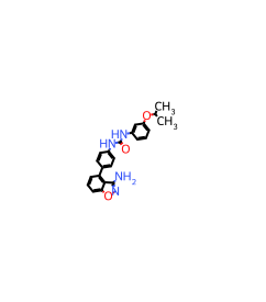 CC(C)Oc1cccc(NC(=O)Nc2ccc(-c3cccc4onc(N)c34)cc2)c1